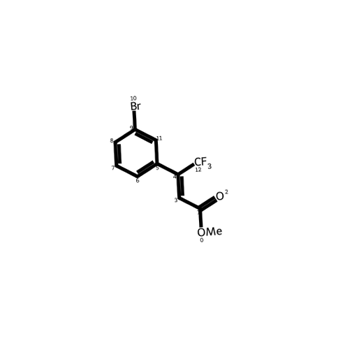 COC(=O)/C=C(/c1cccc(Br)c1)C(F)(F)F